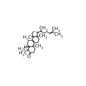 CC(C)=CCC[C@@H](C)[C@H]1CC[C@@]2(C)C3=C(CC[C@]12C)[C@@]1(C)CCC(=O)C(C)(C)[C@@H]1CC3